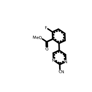 COC(=O)c1c(F)cccc1-c1cnc(C#N)nc1